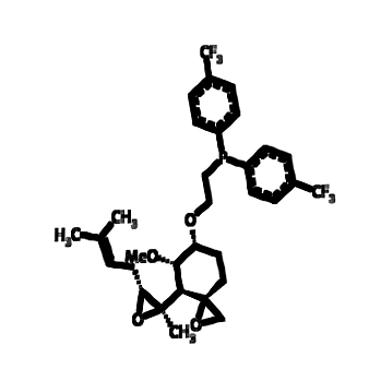 CO[C@@H]1[C@H](OCCP(c2ccc(C(F)(F)F)cc2)c2ccc(C(F)(F)F)cc2)CC[C@]2(CO2)[C@H]1[C@@]1(C)O[C@@H]1CC=C(C)C